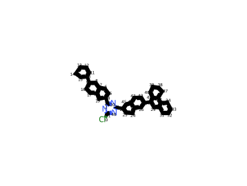 Clc1nc(-c2ccc3cc(-c4ccccc4)ccc3c2)nc(-c2ccc3cc(-c4cc5ccccc5c5ccccc45)ccc3c2)n1